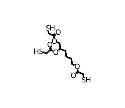 O=C(CS)OCCCCC(COC(=O)CS)OC(=O)CS